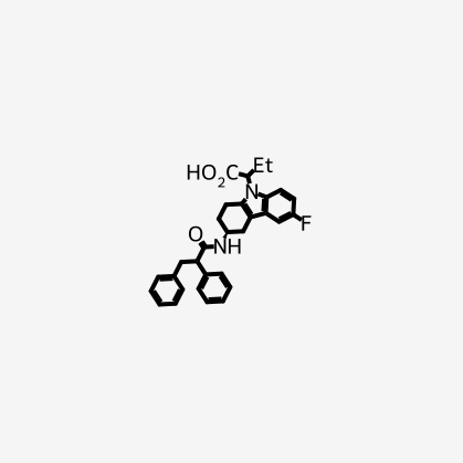 CCC(C(=O)O)n1c2c(c3cc(F)ccc31)C[C@@H](NC(=O)C(Cc1ccccc1)c1ccccc1)CC2